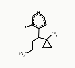 O=C(O)CCC(c1ccncc1F)C1(C(F)(F)F)CC1